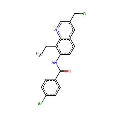 CCc1c(NC(=O)c2ccc(Br)cc2)ccc2cc(CCl)cnc12